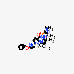 Cc1nn(C)cc1S(=O)(=O)NC(=O)c1ccc(-n2ccc(OCC3C4CCC3CC4)n2)nc1N1C[C@@H](C)CC1(C)C